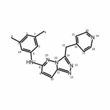 Cc1cc(C)cc(Nc2ccc3nnc(Cc4ccncc4)n3n2)c1